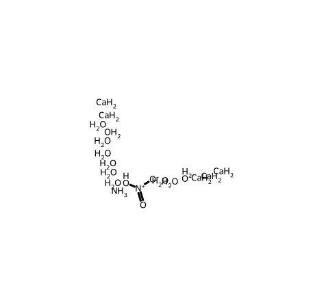 N.O.O.O.O.O.O.O.O.O.O.O=[N+]([O-])O.[CaH2].[CaH2].[CaH2].[CaH2].[CaH2]